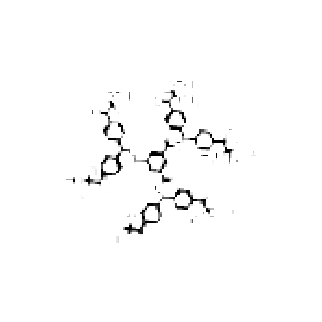 CC(C)(O)C(=O)c1ccc(C(OC(=O)c2cc(C(=O)OC(c3ccc(C(=O)C(C)(C)O)cc3)c3ccc(C(=O)C(C)(C)O)cc3)cc(C(=O)OC(c3ccc(C(=O)C(C)(C)O)cc3)c3ccc(C(=O)C(C)(C)O)cc3)c2)c2ccc(C(=O)C(C)(C)O)cc2)cc1